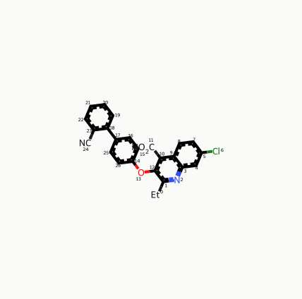 CCc1nc2cc(Cl)ccc2c(C(=O)O)c1Oc1ccc(-c2ccccc2C#N)cc1